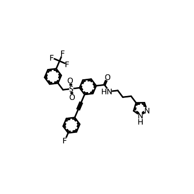 O=C(NCCCc1cn[nH]c1)c1ccc(S(=O)(=O)Cc2cccc(C(F)(F)F)c2)c(C#Cc2ccc(F)cc2)c1